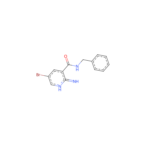 N=c1[nH]cc(Br)cc1C(=O)NCc1ccccc1